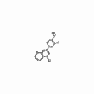 Fc1cc(-c2cc3ncccc3c(Cl)n2)ccc1OC(F)(F)F